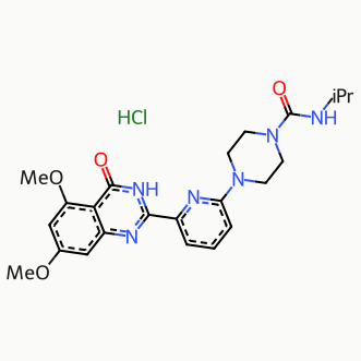 COc1cc(OC)c2c(=O)[nH]c(-c3cccc(N4CCN(C(=O)NC(C)C)CC4)n3)nc2c1.Cl